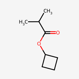 C[C](C)C(=O)OC1CCC1